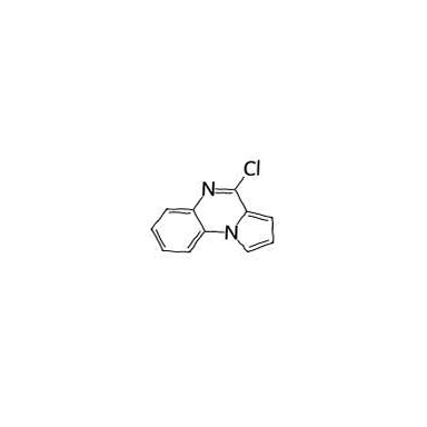 Clc1nc2ccccc2n2cccc12